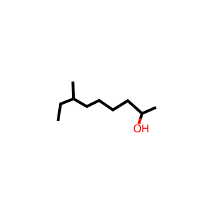 CCC(C)CCCCC(C)O